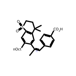 CCCCCCCCc1cc2c(cc1/C(C)=C\c1ccc(C(=O)O)cc1)C(C)(C)CCS2(=O)=O